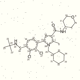 Cc1c(C(=O)NC2CCOCC2)cc(-c2ccc(SNC(C)(C)C)c(Cl)c2Cl)n1CC1CCCCC1